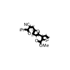 COC(=O)c1sccc1-c1ccc(/C=C(/C#N)C(=O)C(C)C)o1